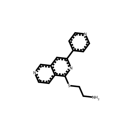 NCCSc1nc(-c2ccncc2)cc2cnccc12